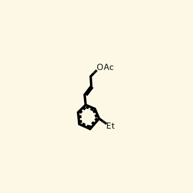 CCc1cccc(C=CCOC(C)=O)c1